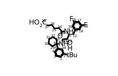 CC(C)(C)c1cccc(C2(NC[C@H](O)[C@H](Cc3cc(F)cc(F)c3)NC(=O)CCCCC(=O)O)CCCCC2)c1